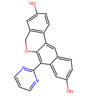 Oc1ccc2c(c1)COc1c-2cc2ccc(O)cc2c1-c1ncccn1